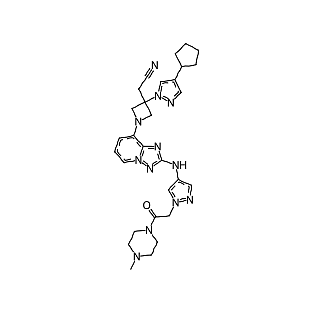 CN1CCN(C(=O)Cn2cc(Nc3nc4c(N5CC(CC#N)(n6cc(C7CCCC7)cn6)C5)cccn4n3)cn2)CC1